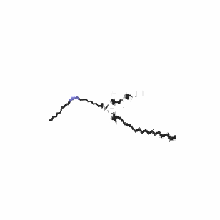 CCCCCCCC/C=C\CCCCCCCC(=O)O[C@H](COC(=O)CCCCCCCCCCCCCCC)COC(=O)[C@@H](N)COP(=O)(O)O